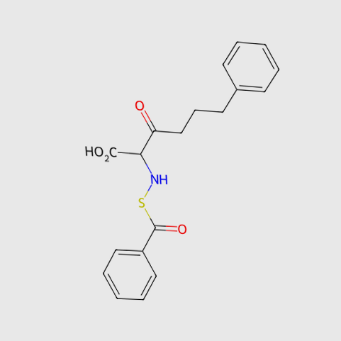 O=C(SNC(C(=O)O)C(=O)CCCc1ccccc1)c1ccccc1